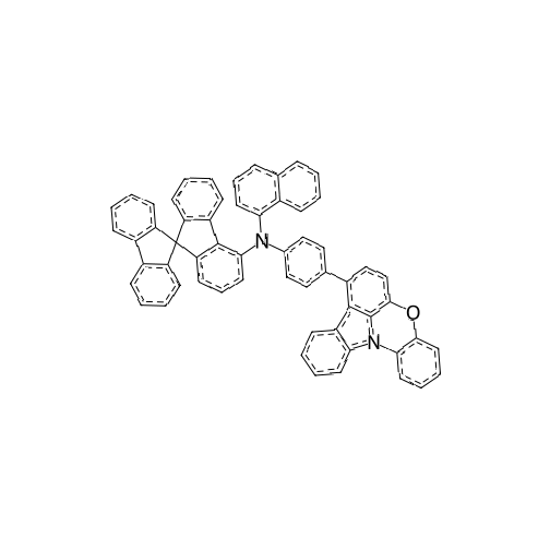 c1ccc2c(c1)Oc1ccc(-c3ccc(N(c4cccc5c4-c4ccccc4C54c5ccccc5-c5ccccc54)c4cccc5ccccc45)cc3)c3c4ccccc4n-2c13